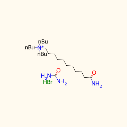 Br.CCCC[N+](CCCC)(CCCC)CCCCCCCCCCC(N)=O.NC(N)=O